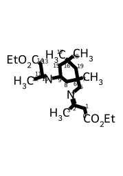 CCOC(=O)CC(C)=NCC1(C)CC(N=C(C)CC(=O)OCC)CC(C)(C)C1